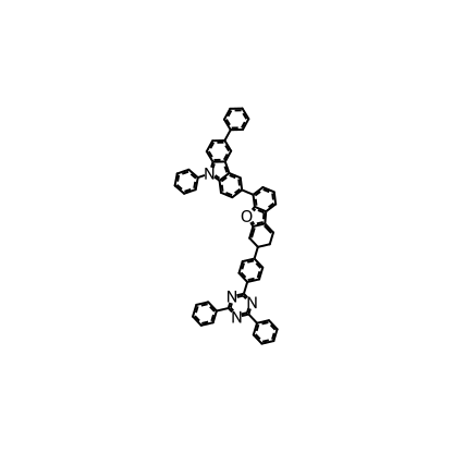 C1=c2oc3c(-c4ccc5c(c4)c4cc(-c6ccccc6)ccc4n5-c4ccccc4)cccc3c2=CCC1c1ccc(-c2nc(-c3ccccc3)nc(-c3ccccc3)n2)cc1